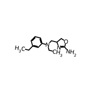 CCc1cccc(N(CC)CC2COC(N)=N2)c1